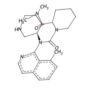 Cc1cccc2ccnc(N(C(=O)N3CCCCC3C(=O)N(C)C)[C@@H]3CCCNC3)c12